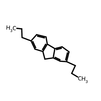 CCCc1ccc2c(c1)Cc1cc(CCC)ccc1-2